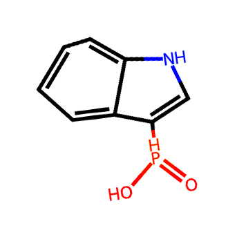 O=[PH](O)c1c[nH]c2ccccc12